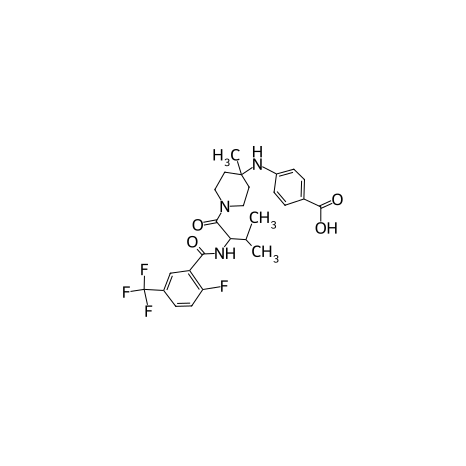 CC(C)C(NC(=O)c1cc(C(F)(F)F)ccc1F)C(=O)N1CCC(C)(Nc2ccc(C(=O)O)cc2)CC1